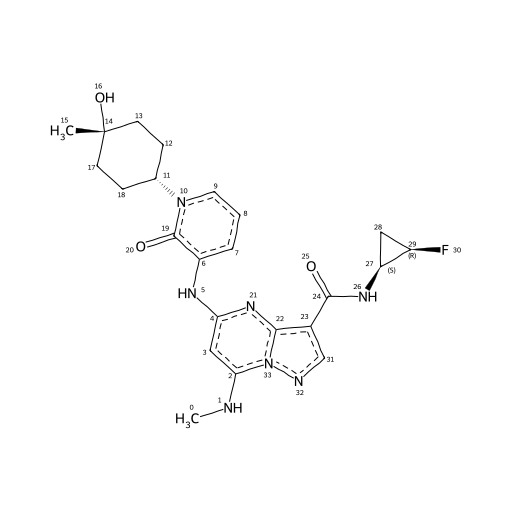 CNc1cc(Nc2cccn([C@H]3CC[C@@](C)(O)CC3)c2=O)nc2c(C(=O)N[C@H]3C[C@H]3F)cnn12